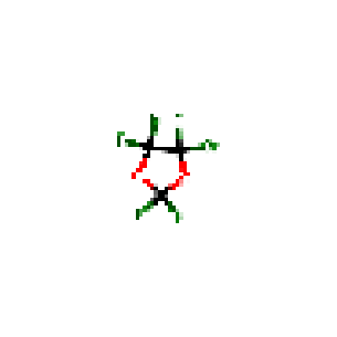 FC1(F)OC(F)(Br)C(F)(Br)O1